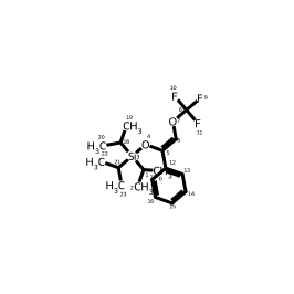 CC(C)[Si](OC(=COC(F)(F)F)c1ccccc1)(C(C)C)C(C)C